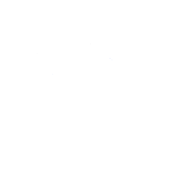 CC(CC1C[N+]2(CCCCC2)CC1C)CC1C[N+]2(CCCCC2)CC1CC(C)Sc1ccc(F)cc1